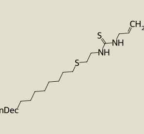 C=CCNC(=S)NCCSCCCCCCCCCCCCCCCCCC